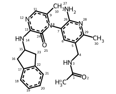 CC(=O)NCc1cc(-n2c(C)cnc(NC3Cc4ccccc4C3)c2=O)c(N)nc1C